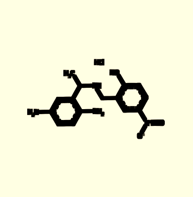 CC(NCc1cc([N+](=O)[O-])ccc1O)c1cc(N)ccc1N.Cl